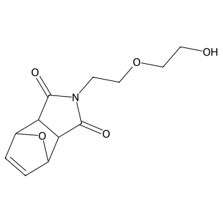 O=C1C2C3C=CC(O3)C2C(=O)N1CCOCCO